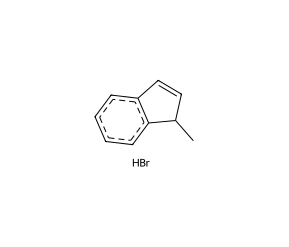 Br.CC1C=Cc2ccccc21